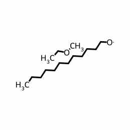 CCCCCCCCCCCC[O].CCOC